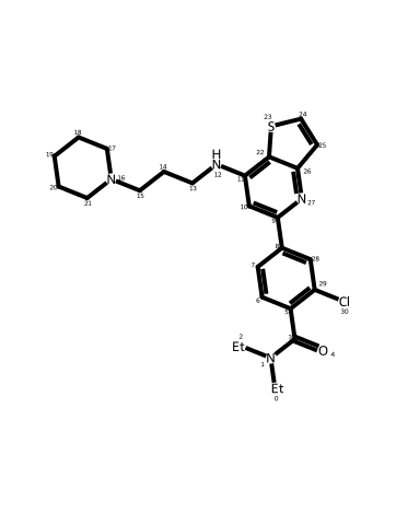 CCN(CC)C(=O)c1ccc(-c2cc(NCCCN3CCCCC3)c3sccc3n2)cc1Cl